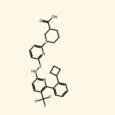 O=C(O)C1CCCN(c2cccc(SNc3ccc(C(F)(F)F)c(-c4ccccc4C4CCC4)n3)n2)C1